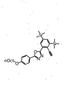 C#Cc1c(-c2nnc(-c3ccc(OCCCCCCCC)cc3)o2)cc([Si](C)(C)C)cc1[Si](C)(C)C